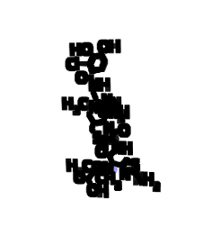 CC(C)(O/N=C(\C(=O)N[C@@H]1C(=O)N2C(c3nnn[nH]3)=C(C[N+](C)(C)CCNC(=O)c3ccc(O)c(O)c3Cl)CS[C@H]12)c1csc(N)n1)C(=O)O